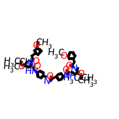 COc1cccc(CC(=O)N2C[C@H](OC(C)(C)C)C[C@H]2C(=O)Nc2ccc(-c3cnc(-c4ccc(NC(=O)[C@@H]5C[C@@H](OC(C)(C)C)CN5C(=O)Cc5cccc(OC)c5)cc4)o3)cc2)c1